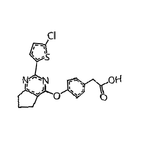 O=C(O)Cc1ccc(Oc2nc(-c3ccc(Cl)s3)nc3c2CCC3)cc1